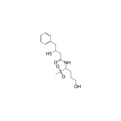 CS(=O)(=O)C(CCCO)NC(=O)CC(S)Cc1ccccc1